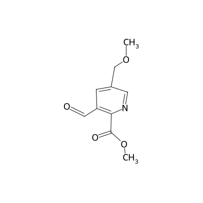 COCc1cnc(C(=O)OC)c(C=O)c1